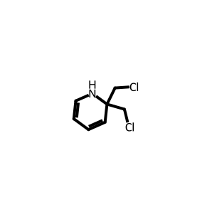 ClCC1(CCl)C=CC=CN1